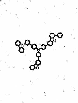 c1ccc(-c2cccc3c2oc2ccc(-c4ccc(N(c5ccc(-c6cccc(-n7c8ccccc8c8ccccc87)c6)cc5)c5ccc(-c6ccc7oc8ccccc8c7c6)cc5)cc4)cc23)cc1